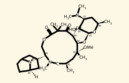 CCN1C2CC[C@@H]1CC([C@@H]1COC(=O)C(C)(C)C(=O)[C@H](C)[C@@H](O[C@@H]3O[C@H](C)C[C@H](N(C)C)[C@H]3O)[C@](C)(OC)C[C@@H](C)CN1C)C2